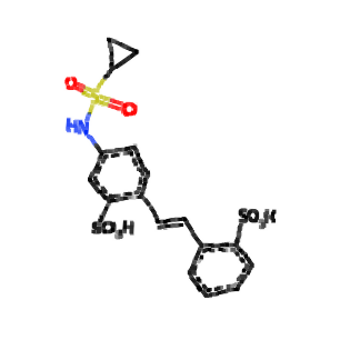 O=S(=O)(O)c1ccccc1/C=C/c1ccc(NS(=O)(=O)C2CC2)cc1S(=O)(=O)O